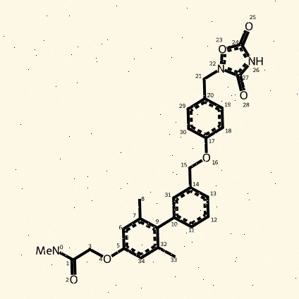 CNC(=O)COc1cc(C)c(-c2cccc(COc3ccc(Cn4oc(=O)[nH]c4=O)cc3)c2)c(C)c1